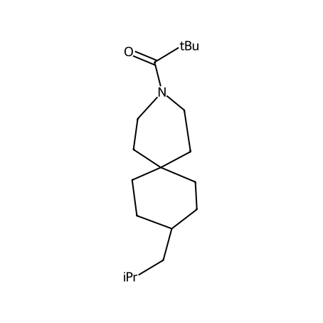 CC(C)CC1CCC2(CC1)CCN(C(=O)C(C)(C)C)CC2